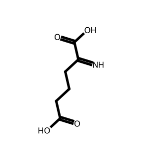 N=C(CCCC(=O)O)C(=O)O